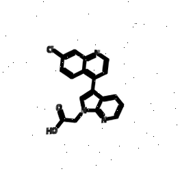 O=C(O)Cn1cc(-c2ccnc3cc(Cl)ccc23)c2cccnc21